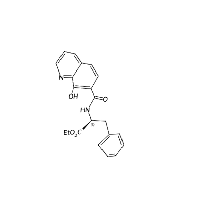 CCOC(=O)[C@H](Cc1ccccc1)NC(=O)c1ccc2cccnc2c1O